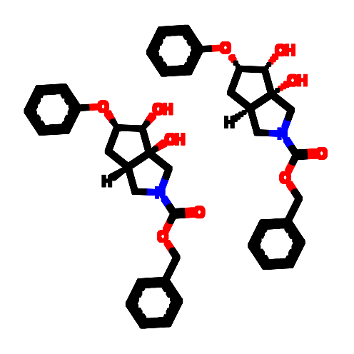 O=C(OCc1ccccc1)N1C[C@@H]2C[C@@H](Oc3ccccc3)[C@@H](O)[C@]2(O)C1.O=C(OCc1ccccc1)N1C[C@H]2C[C@H](Oc3ccccc3)[C@H](O)[C@@]2(O)C1